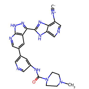 [C-]#[N+]c1cncc2[nH]c(-c3n[nH]c4ncc(-c5cncc(NC(=O)N6CCN(C)CC6)c5)cc34)nc12